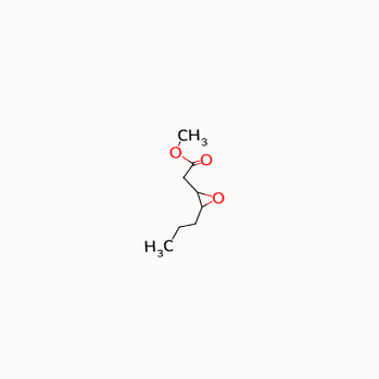 CCCC1OC1CC(=O)OC